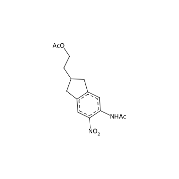 CC(=O)Nc1cc2c(cc1[N+](=O)[O-])CC(CCOC(C)=O)C2